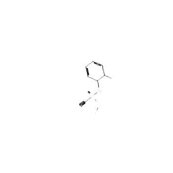 C#CP(=O)(NC1C=CC=CC1C)OCC